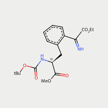 CCOC(=O)C(=N)c1ccccc1C[C@H](NC(=O)OC(C)(C)C)C(=O)OC